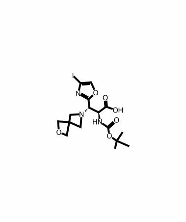 CC(C)(C)OC(=O)N[C@H](C(=O)O)[C@@H](c1nc(I)co1)N1CC2(COC2)C1